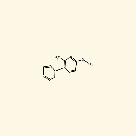 COc1ccc(-c2ccncc2)c(C)n1